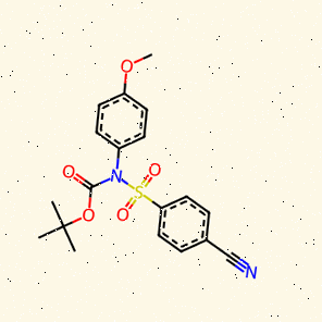 COc1ccc(N(C(=O)OC(C)(C)C)S(=O)(=O)c2ccc(C#N)cc2)cc1